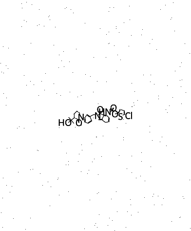 CC(C)(O)C1CCCN(c2cccc(CN3C=C4CC=CC(NC(=O)Oc5ccc(Cl)s5)=C4C3=O)c2)C1=O